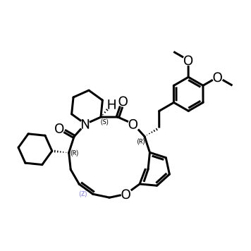 COc1ccc(CC[C@H]2OC(=O)[C@@H]3CCCCN3C(=O)[C@@H](C3CCCCC3)C/C=C\COc3cccc2c3)cc1OC